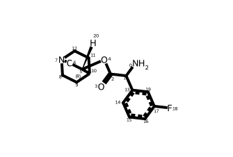 NC(C(=O)O[C@H]1CN2CCC1CC2)c1cccc(F)c1